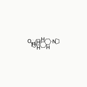 C[C@]12CC[C@H]3[C@@H](CC[C@H]4C[C@@H](N5CCCC5)CC[C@@H]43)[C@@H]1CCC2=O